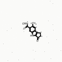 COC(=O)c1cc2[nH]c3c(c2cc1C)CCC3=O